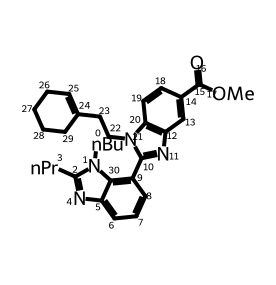 CCCCn1c(CCC)nc2cccc(-c3nc4cc(C(=O)OC)ccc4n3CCC3=CCCCC3)c21